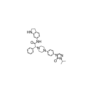 CC(C)n1ncn(-c2ccc(N3CCN(C(C(=O)Nc4ccc5c(c4)NCC5)c4ccccc4)CC3)cc2)c1=O